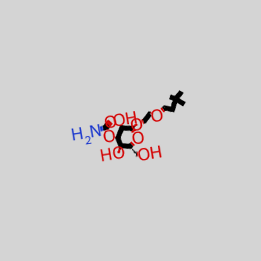 CC(C)(C)CCOCCO[C@H]1O[C@H](CO)[C@@H](O)[C@H](OC(N)=O)[C@@H]1O